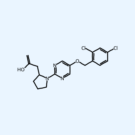 C=C(O)CC1CCCN1c1ncc(OCc2ccc(Cl)cc2Cl)cn1